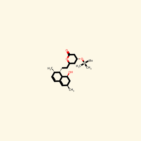 C[C@H]1C=C2C=C[C@H](C)[C@H](CCC3C[C@@H](O[Si](C)(C)C(C)(C)C)CC(=O)O3)C2[C@@H](O)C1